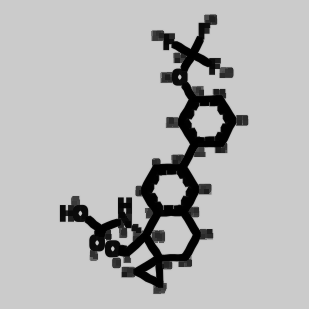 O=C[C@@]1(NC(=O)O)c2ccc(-c3cccc(OC(F)(F)F)c3)cc2CCC12CC2